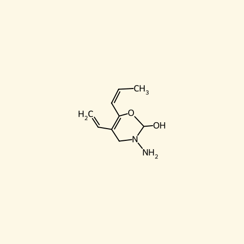 C=CC1=C(/C=C\C)OC(O)N(N)C1